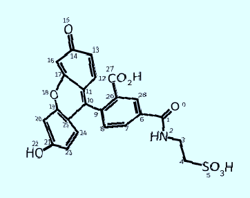 O=C(NCCS(=O)(=O)O)c1ccc(-c2c3ccc(=O)cc-3oc3cc(O)ccc23)c(C(=O)O)c1